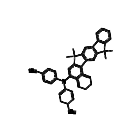 CC(C)(C)c1ccc(N(C2=CCC(C(C)(C)C)C=C2)c2cc3c(c4c2=CCCC=4)-c2cc4c(cc2C3(C)C)-c2ccccc2C4(C)C)cc1